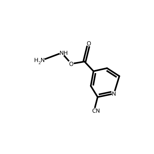 N#Cc1cc(C(=O)ONN)ccn1